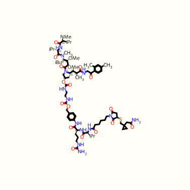 CC[C@H](C)[C@@H]([C@@H](CC(=O)N1C[C@@H](OC(=O)NCCNC(=O)OCc2ccc(NC(=O)[C@H](CCCNC(N)=O)NC(=O)[C@@H](NC(=O)CCCCCN3C(=O)CC(SCC4(CC(N)=O)CC4)C3=O)C(C)C)cc2)C[C@H]1[C@H](OC)[C@@H](C)C(=O)NCC(=O)c1ccc(C)cc1C)OC)N(C)C(=O)[C@@H](NC(=O)[C@@H](NC)C(C)C)C(C)C